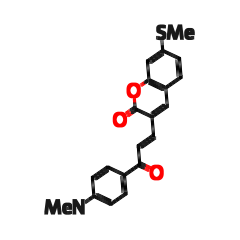 CNc1ccc(C(=O)/C=C/c2cc3ccc(SC)cc3oc2=O)cc1